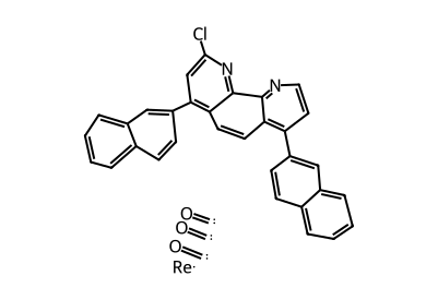 Clc1cc(-c2ccc3ccccc3c2)c2ccc3c(-c4ccc5ccccc5c4)ccnc3c2n1.[C]=O.[C]=O.[C]=O.[Re]